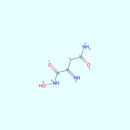 N=C(CC(N)=O)C(=O)NO